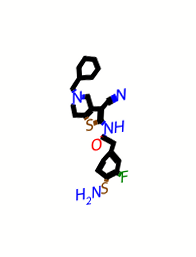 N#Cc1c(NC(=O)Cc2ccc(SN)c(F)c2)sc2c1CN(CC1CCCCC1)CC2